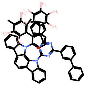 Bc1c(B)c(B)c(-c2cccc(-n3c4ccccc4c4ccc5c6ccccc6n(-c6nc(-c7ccccc7)nc(-c7cccc(-c8ccccc8)c7)n6)c5c43)c2-c2c(B)c(B)c(C)c(B)c2C)c(B)c1B